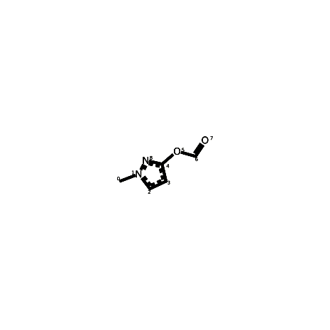 Cn1ccc(OC=O)n1